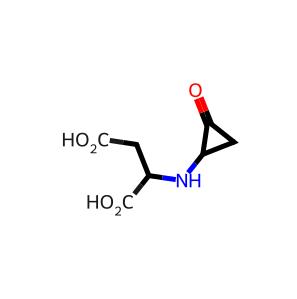 O=C(O)CC(NC1CC1=O)C(=O)O